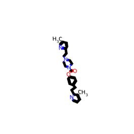 Cc1ccc(CCN2CCN(C(=O)Oc3ccc(CCc4ncccc4C)cc3)CC2)nc1